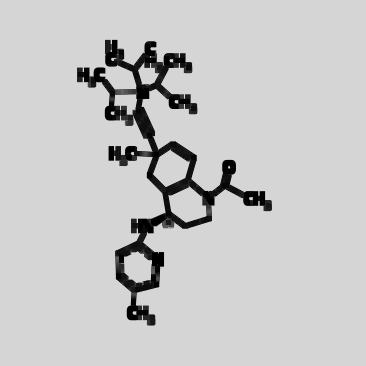 CC(=O)N1CC[C@@H](Nc2ccc(C)cn2)C2=C1C=CC(C)(C#C[Si](C(C)C)(C(C)C)C(C)C)C2